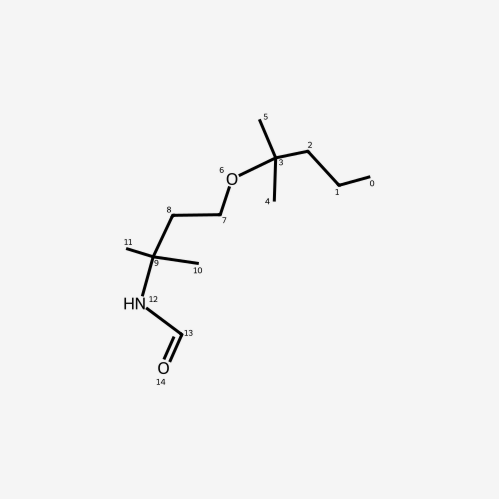 CCCC(C)(C)OCCC(C)(C)NC=O